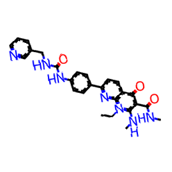 CCn1c(NC)c(C(=O)NC)c(=O)c2ccc(-c3ccc(NC(=O)NCc4cccnc4)cc3)nc21